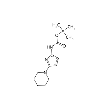 CC(C)(C)OC(=O)Nc1nc(N2CCCCC2)cs1